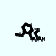 COc1ccccc1N.O=C(O)CCl